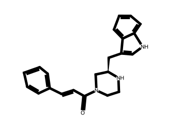 O=C(/C=C/c1ccccc1)N1CCN[C@H](Cc2c[nH]c3ccccc23)C1